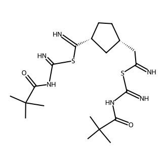 CC(C)(C)C(=O)NC(=N)SC(=N)C[C@H]1CC[C@@H](C(=N)SC(=N)NC(=O)C(C)(C)C)C1